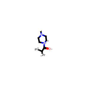 CC(C)C(C(=O)N1CCN(C)CC1)C(C)C